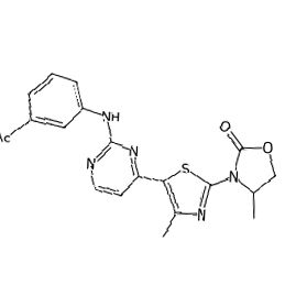 CC(=O)c1cccc(Nc2nccc(-c3sc(N4C(=O)OCC4C)nc3C)n2)c1